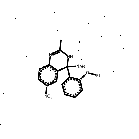 CCOc1ccccc1C1(NC)NC(C)=Nc2ccc([N+](=O)[O-])cc21